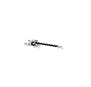 CCCCCCCCCCCCCCCCCC(=O)N1C(C)(C)CC(OC)CC1(C)C